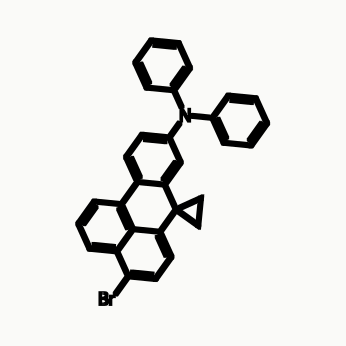 Brc1ccc2c3c(cccc13)-c1ccc(N(c3ccccc3)c3ccccc3)cc1C21CC1